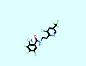 Cc1c(C(=O)NCCc2ncc(C(F)(F)F)cc2Cl)cc(F)c(F)c1F